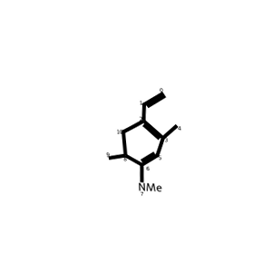 C=CC1=C(C)C=C(NC)C(C)C1